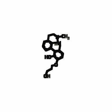 CN1CCc2cccc3c2[C@H]1Cc1ccc(OCCCO)c(O)c1-3